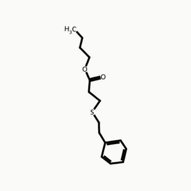 CCCCOC(=O)CCSCCc1ccccc1